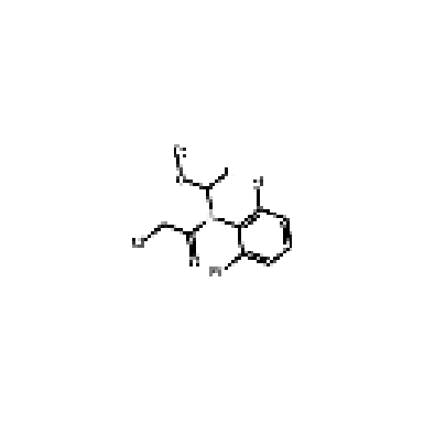 CCOC(Cl)N(C(=O)CCl)c1c(CC)cccc1CC